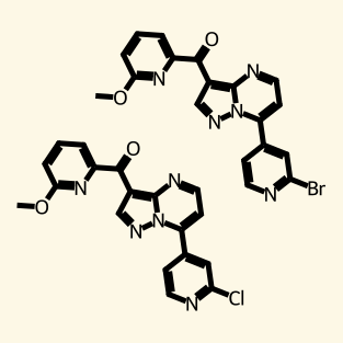 COc1cccc(C(=O)c2cnn3c(-c4ccnc(Br)c4)ccnc23)n1.COc1cccc(C(=O)c2cnn3c(-c4ccnc(Cl)c4)ccnc23)n1